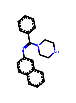 c1ccc(C(=Nc2ccc3ccccc3c2)N2CCNCC2)cc1